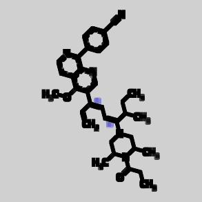 C=C/C(=C\C=C(/C(C)CC)N1CC(C)N(C(=O)CC)C(C)C1)c1cnc2c(-c3ccc(C#N)cc3)nccc2c1OC